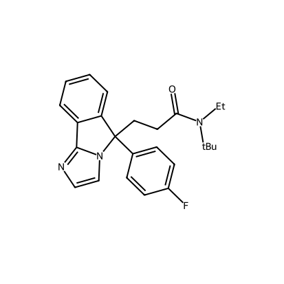 CCN(C(=O)CCC1(c2ccc(F)cc2)c2ccccc2-c2nccn21)C(C)(C)C